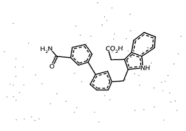 NC(=O)c1cccc(-c2cccc(Cc3[nH]c4ccccc4c3CC(=O)O)c2)c1